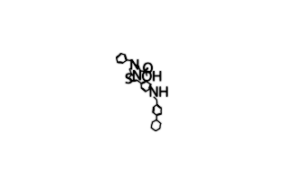 O=C(O)CCN(Cc1ccccc1)Cc1nc(-c2ccc(NCCc3ccc(C4CCCCC4)cc3)cc2)cs1